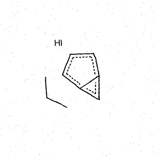 CCC.I.c1cc2cc-2c1